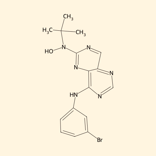 CC(C)(C)N(O)c1ncc2ncnc(Nc3cccc(Br)c3)c2n1